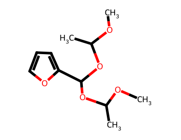 COC(C)OC(OC(C)OC)c1ccco1